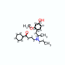 CCCN(CCCC(=O)C1CCCCC1)C(C)Cc1ccc(O)cc1OC